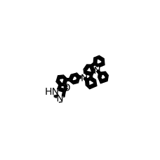 CN1CNc2c(oc3c(-c4ccc(-n5c6ccccc6c6c5ccc5c7ccccc7n(-c7ccccc7)c56)cc4)cccc23)C1